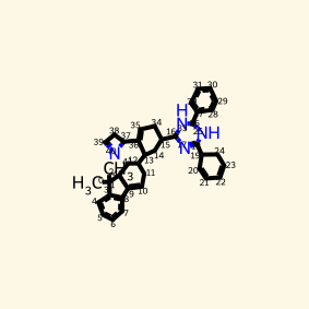 CC1(C)c2ccccc2C2=CCC(C3CC(C4N=C(C5C=CC=CC5)NC(c5ccccc5)N4)CC=C3C3CC=N3)CC21